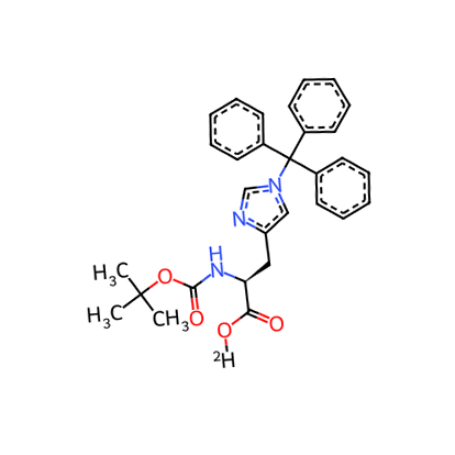 [2H]OC(=O)[C@H](Cc1cn(C(c2ccccc2)(c2ccccc2)c2ccccc2)cn1)NC(=O)OC(C)(C)C